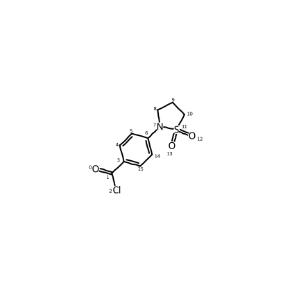 O=C(Cl)c1ccc(N2CCCS2(=O)=O)cc1